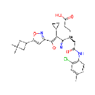 Cc1ccc(NC(=O)C[C@H](CCC(=O)O)c2noc(-c3cc(C4CC(C)(C)C4)on3)c2C2CC2)c(Cl)c1